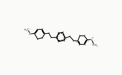 COC1=CC=C(CCc2ccc(CCC3=CC=C(OC)CC3)cc2)CC1